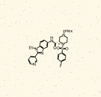 CCCCCCN1CCN(S(=O)(=O)c2ccc(F)cc2)[C@H](C(=O)Nc2ccc3c(c2)nc(-c2cccnc2)n3CC)C1